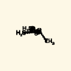 CCCCCCCCCCCC(=O)OOC(=O)C(CCCCCCCCCC)CC(=O)OOC(C)=O